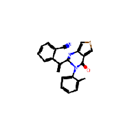 C=C(c1ccccc1C#N)c1nc2cscc2c(=O)n1-c1ccccc1C